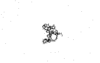 COc1ccc2c(O[C@@H]3C[C@H]4C(=O)N[C@@H](C(N)=O)C/C=C\CCCCC[C@H](CC(=O)N5CCCCC5)C(=O)N4C3)cc(-c3ccccc3)nc2c1